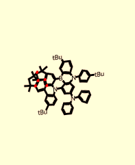 CC(C)(C)c1ccc(N2c3ccc(C(C)(C)C)cc3B3c4cc5c(cc4N(c4ccc(C(C)(C)C)cc4-c4ccc6c(c4)C(C)(C)CC6(C)C)c4cc(N(c6ccccc6)c6ccccc6)cc2c43)C(C)(C)CC5(C)C)cc1